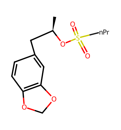 CCCS(=O)(=O)O[C@H](C)Cc1ccc2c(c1)OCO2